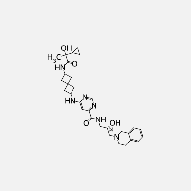 CC(O)(C(=O)NC1CC2(C1)CC(Nc1cc(C(=O)NC[C@H](O)CN3CCc4ccccc4C3)ncn1)C2)C1CC1